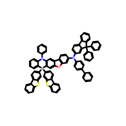 c1ccc(-c2ccc(N(c3ccc4c(c3)C(c3ccccc3)(c3ccccc3)c3ccccc3-4)c3ccc4c(c3)oc3cc5c(cc34)N(c3ccccc3)c3ccccc3[Si]5(c3ccc4c(c3)sc3ccccc34)c3ccc4c(c3)sc3ccccc34)cc2)cc1